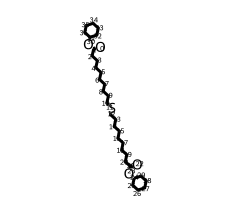 O=C(CCCCCCCCCSCCCCCCCCCC(=O)OC1CCCCC1)OC1CCCCC1